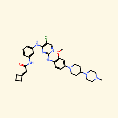 COc1cc(N2CCC(N3CCN(C)CC3)CC2)ccc1Nc1ncc(Cl)c(Nc2cccc(NC(=O)C=C3CCC3)c2)n1